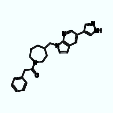 O=C(Cc1ccccc1)N1CCCC(Cn2ccc3cc(-c4cn[nH]c4)cnc32)CC1